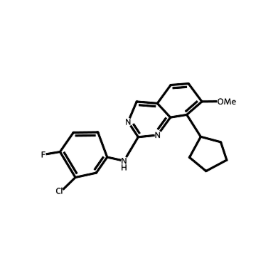 COc1ccc2cnc(Nc3ccc(F)c(Cl)c3)nc2c1C1CCCC1